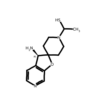 CC(S)N1CCC2(CC1)Oc1cnccc1[C@H]2N